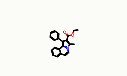 CCOC(=O)c1c(-c2ccccc2)c2c3ccccc3ccn2c1C